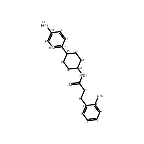 O=C(CCc1ccccc1F)NC1CCC(c2ccc(O)cn2)CC1